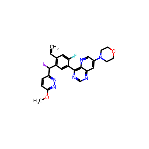 C=Cc1cc(F)c(-c2ncnc3cc(N4CCOCC4)cnc23)cc1C(I)c1ccc(OC)nn1